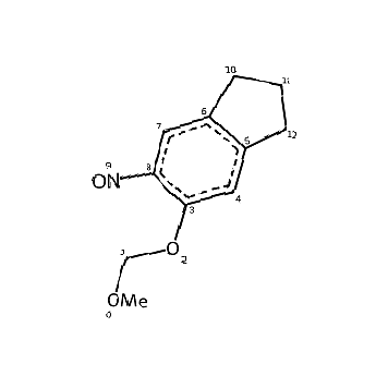 COCOc1cc2c(cc1N=O)CCC2